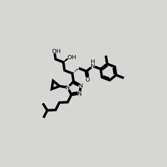 Cc1ccc(NC(=O)C[C@@H](C[C@H](O)CO)c2nnc(CCCC(C)C)n2C2CC2)c(C)c1